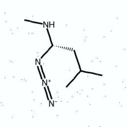 CN[C@H](CC(C)C)N=[N+]=[N-]